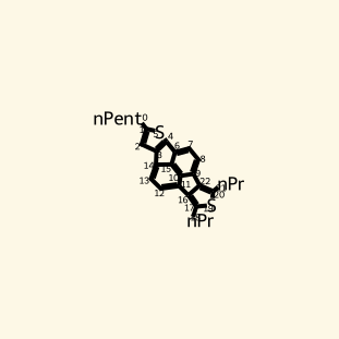 CCCCCc1cc2c(s1)-c1ccc3c4c(ccc-2c14)-c1c(CCC)sc(CCC)c1-3